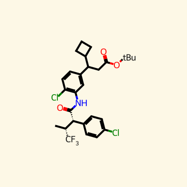 C[C@H]([C@H](C(=O)Nc1cc(C(CC(=O)OC(C)(C)C)C2CCC2)ccc1Cl)c1ccc(Cl)cc1)C(F)(F)F